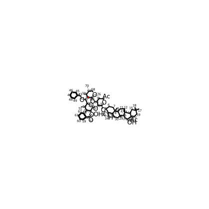 CC(=O)C1O[C@@H](O[C@H]2CCC3(C)C4CC=C5C6CC(C)(C)CC[C@]6(C(C)=O)C(O)C[C@@]5(C)C4(C)CC[C@H]3[C@@]2(C)C=O)C(O[C@@H]2OC(COCc3ccccc3)[C@H](C)[C@H](C)C2OC(=O)c2ccccc2)[C@@H](O[C@@H]2OC[C@@H](C)[C@H](C)C2C)[C@@H]1C